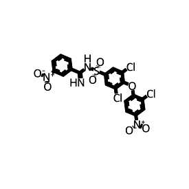 N=C(NS(=O)(=O)c1cc(Cl)c(Oc2ccc([N+](=O)[O-])cc2Cl)c(Cl)c1)c1cccc([N+](=O)[O-])c1